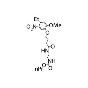 CCCOC(=O)NCCNC(=O)CCCOc1cc([N+](=O)[O-])c(CC)cc1OC